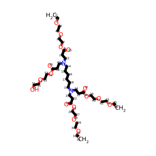 C=COCCOCCOC(=O)CCN(CCCCCCN(CCC(=O)OCCOCCOC=C)CCC(=O)OCCOCCOC=C)CCC(=O)OCCOCCO